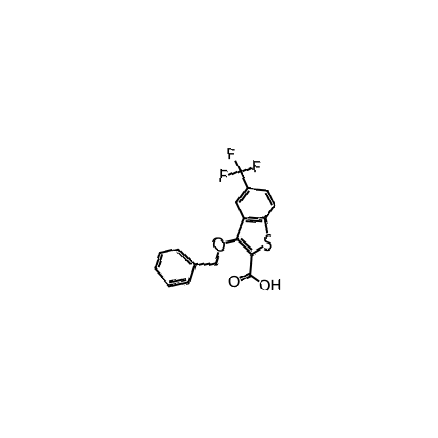 O=C(O)c1sc2ccc(C(F)(F)F)cc2c1OCc1ccccc1